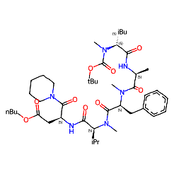 CCCCOC(=O)C[C@H](NC(=O)[C@H](C(C)C)N(C)C(=O)[C@H](Cc1ccccc1)N(C)C(=O)[C@H](C)NC(=O)[C@H]([C@@H](C)CC)N(C)C(=O)OC(C)(C)C)C(=O)N1CCCCC1